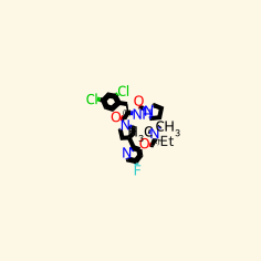 CC[C@H](COc1cc(F)cnc1C1CCN(C(=O)[C@@H](Cc2ccc(Cl)cc2Cl)NC(=O)N2CCCC2)CC1)N(C)C